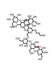 OCC1O[C@@H](OC2[C@H](O[C@H]3OC(CO)[C@@H](O[C@@H]4OC(CO)[C@H](O)C(O)[C@@H]4O)C(O)[C@@H]3O)C(CO[C@@H]3OC(CO)[C@@H](O)C(O)[C@@H]3O[C@H]3OC(CO)[C@@H](O[C@@H]4OC(CO)[C@H](O)C(O)[C@@H]4O)C(O)[C@@H]3O)O[C@H](OCCCS)[C@H]2O)[C@@H](O)C(O)[C@@H]1O